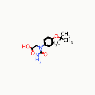 CC(C)(C)Oc1ccc(N(CC(=O)O)C(N)=O)cc1